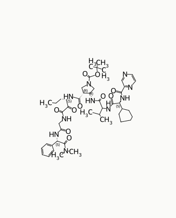 CCC[C@H](NC(=O)[C@@H]1CN(C(=O)OC(C)(C)C)C[C@@H]1NC(=O)C(NC(=O)[C@@H](NC(=O)c1cnccn1)C1CCCCC1)C(C)C)C(=O)C(=O)NCC(=O)N[C@H](C(=O)N(C)C)c1ccccc1